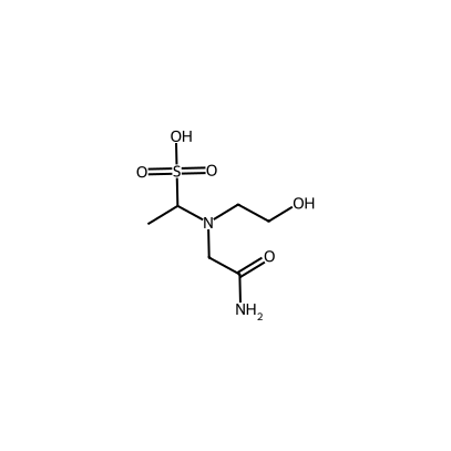 CC(N(CCO)CC(N)=O)S(=O)(=O)O